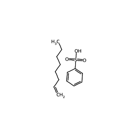 C=CCCCCCC.O=S(=O)(O)c1ccccc1